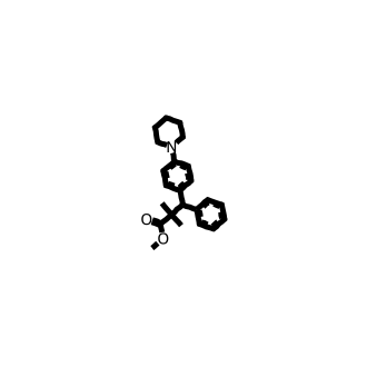 COC(=O)C(C)(C)C(c1ccccc1)c1ccc(N2CCCCC2)cc1